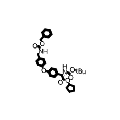 CC(C)(C)OC(=O)N[C@H](C(=O)OC1CCCC1)c1ccc(Oc2ccc(CNC(=O)OCc3ccccc3)cc2)cc1